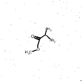 BC(N)C(=O)OC